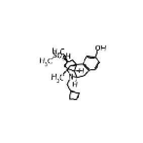 C=C1C[C@H](C)[C@H]2[C@H]3Cc4ccc(O)cc4C2(CCN3CC2CCC2)C1.CS(=O)(=O)O